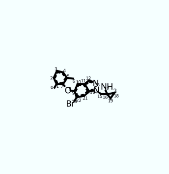 Cc1cccc(C)c1Oc1cc2cnn(CC3(N)CC3)c2cc1Br